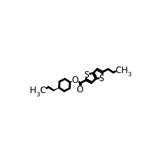 CCCc1cc2sc(C(=O)O[C@H]3CC[C@H](CCC)CC3)cc2s1